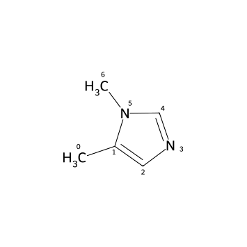 Cc1cncn1C